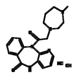 CN1CCCN(CC(=O)N2c3ccccc3C(=O)Nc3cccnc32)CC1.Cl.Cl